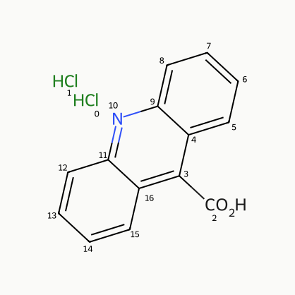 Cl.Cl.O=C(O)c1c2ccccc2nc2ccccc12